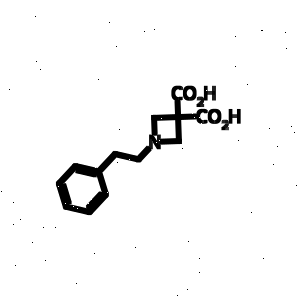 O=C(O)C1(C(=O)O)CN(CCc2ccccc2)C1